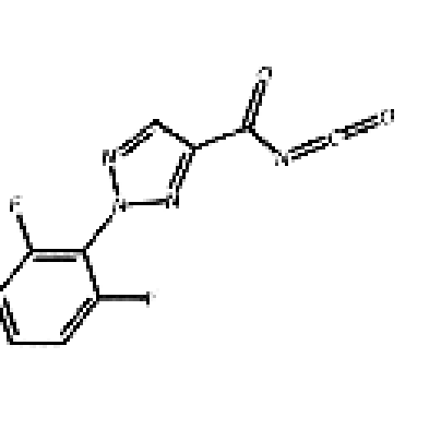 O=C=NC(=O)c1cnn(-c2c(F)cccc2F)n1